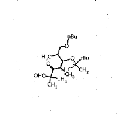 CCCCOC[C@H](C)C(O[Si](C)(C)C(C)(C)C)C(C)C(=O)C(C)(C)C=O